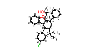 CC(C)(O)c1ccccc1-c1cc2c(c3c1oc1ccccc13)-c1ccc(Cl)cc1C2(C)C